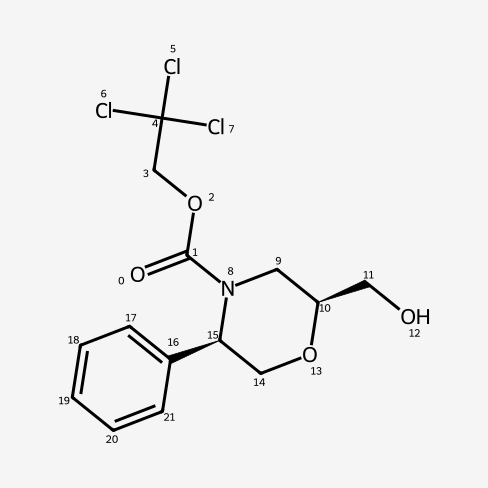 O=C(OCC(Cl)(Cl)Cl)N1C[C@@H](CO)OC[C@H]1c1ccccc1